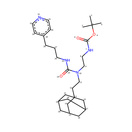 CC(C)(C)OC(=O)NCCN(CCC12CC3CC(CC(C3)C1)C2)C(=O)NCCCc1ccncc1